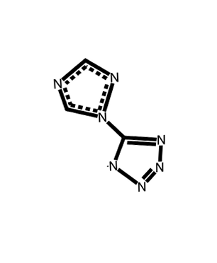 c1ncn(C2=NN=N[N]2)n1